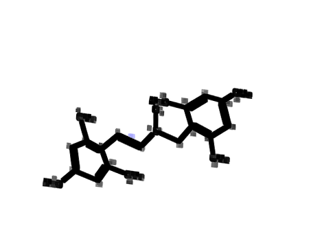 COc1cc(OC)c(/C=C/[S+]([O-])Cc2c(OC)cc(OC)cc2OC)c(OC)c1